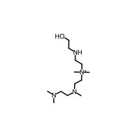 CN(C)CCN(C)CC[N+](C)(C)CCNCCO